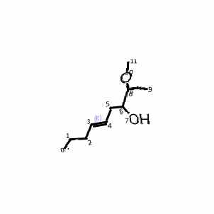 [CH2]CC/C=C/CC(O)C(C)OC